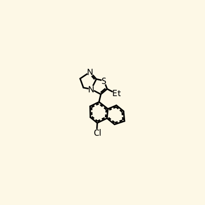 CCC1=C(c2ccc(Cl)c3ccccc23)N2CCN=C2S1